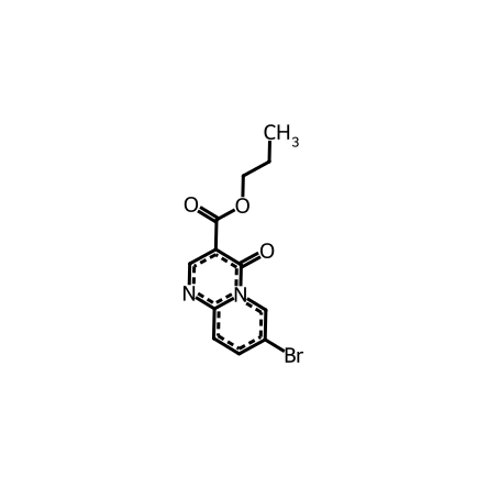 CCCOC(=O)c1cnc2ccc(Br)cn2c1=O